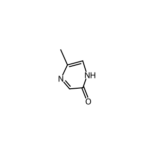 Cc1c[nH]c(=O)cn1